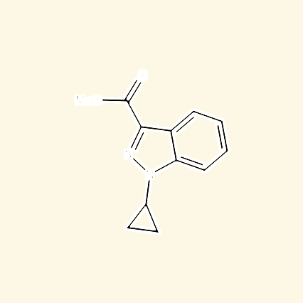 COC(=O)c1nn(C2CC2)c2ccccc12